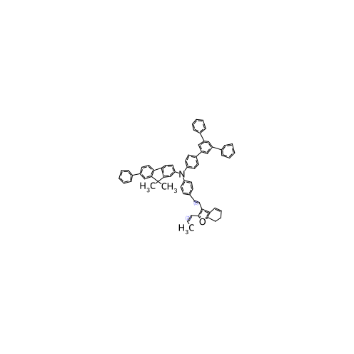 C/C=C\c1oc2c(c1/C=C/c1ccc(N(c3ccc(-c4cc(-c5ccccc5)cc(-c5ccccc5)c4)cc3)c3ccc4c(c3)C(C)(C)c3cc(-c5ccccc5)ccc3-4)cc1)C=CCC2